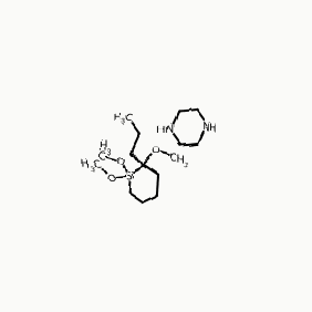 C1CNCCN1.CCCC1(OC)CCCC[Si]1(OC)OC